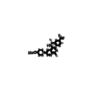 COC1CCN(c2cnc3c(C)nnc(N[C@H](C)c4cccc(C(F)F)c4)c3c2)CC1